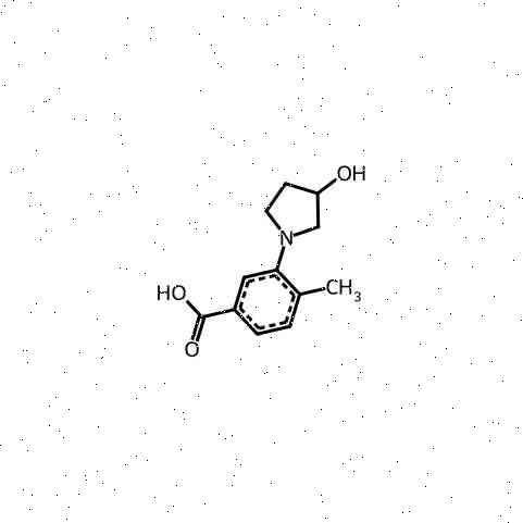 Cc1ccc(C(=O)O)cc1N1CCC(O)C1